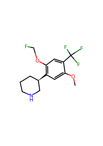 COc1cc([C@@H]2CCCNC2)c(OCF)cc1C(F)(F)F